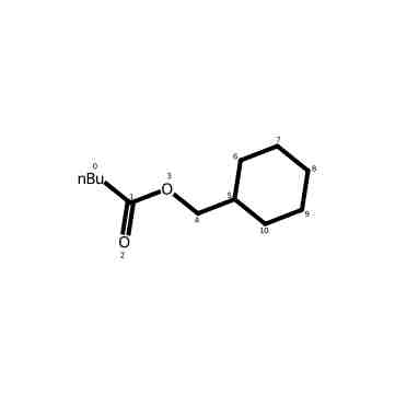 CCCCC(=O)OCC1CCCCC1